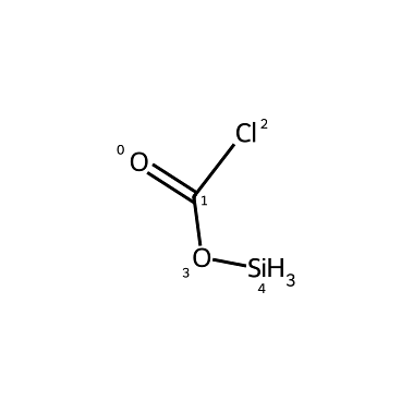 O=C(Cl)O[SiH3]